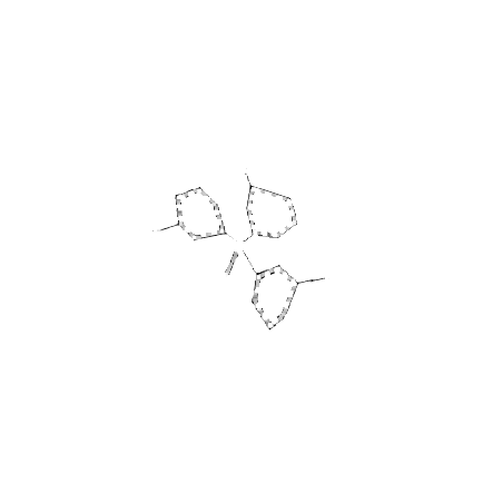 O=[N+]([O-])c1cccc(P(=O)(c2cccc([N+](=O)[O-])c2)c2cccc([N+](=O)[O-])c2)c1